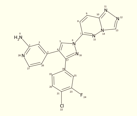 Nc1cc(-c2cn(-c3ccc4nncn4n3)nc2-c2ccc(Cl)c(F)c2)ccn1